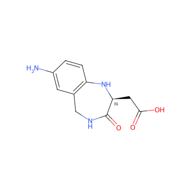 Nc1ccc2c(c1)CNC(=O)[C@H](CC(=O)O)N2